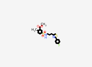 COC(=O)c1cc(S(=O)(=O)NCCCc2csc(-c3ccc(F)cc3)n2)ccc1C